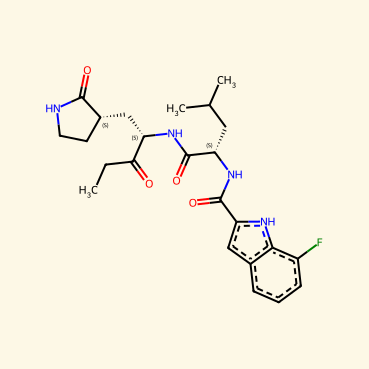 CCC(=O)[C@H](C[C@@H]1CCNC1=O)NC(=O)[C@H](CC(C)C)NC(=O)c1cc2cccc(F)c2[nH]1